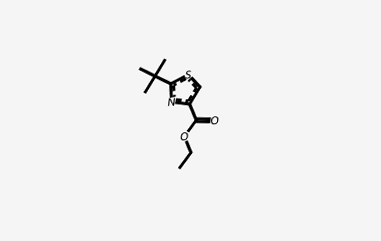 CCOC(=O)c1csc(C(C)(C)C)n1